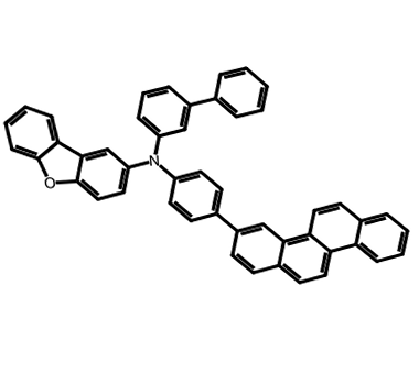 c1ccc(-c2cccc(N(c3ccc(-c4ccc5ccc6c7ccccc7ccc6c5c4)cc3)c3ccc4oc5ccccc5c4c3)c2)cc1